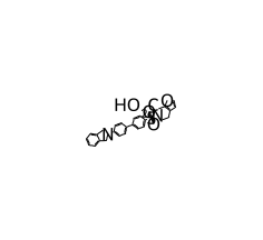 O=C(O)C1c2occc2CCN1S(=O)(=O)c1ccc(-c2ccc(N3Cc4ccccc4C3)cc2)cc1